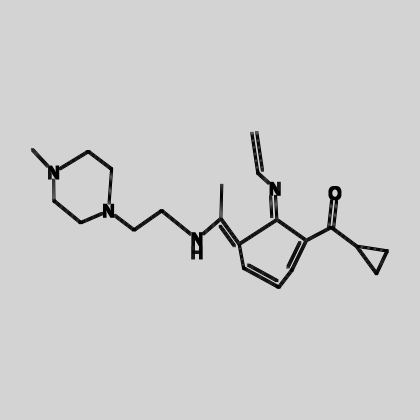 C=C/N=C1/C(C(=O)C2CC2)=CC=C/C1=C(/C)NCCN1CCN(C)CC1